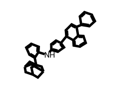 c1ccc(-c2ccc(-c3ccc(Nc4ccccc4C45CC6CC(CC(C6)C4)C5)cc3)c3ccccc23)cc1